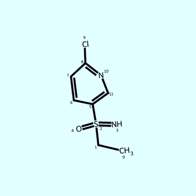 CCS(=N)(=O)c1ccc(Cl)nc1